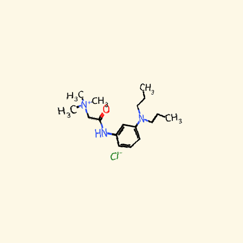 CCCN(CCC)c1cccc(NC(=O)C[N+](C)(C)C)c1.[Cl-]